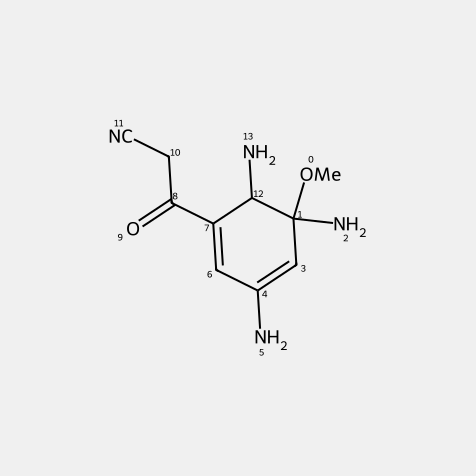 COC1(N)C=C(N)C=C(C(=O)CC#N)C1N